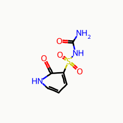 NC(=O)NS(=O)(=O)c1ccc[nH]c1=O